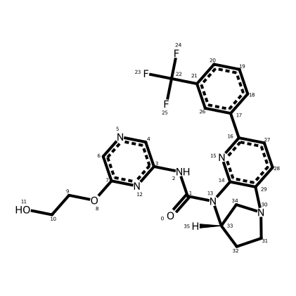 O=C(Nc1cncc(OCCO)n1)N1c2nc(-c3cccc(C(F)(F)F)c3)ccc2N2CC[C@H]1C2